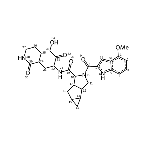 COc1cccc2[nH]c(C(=O)N3CC4C5CC5CC4C3C(=O)NC(CC3CCCNC3=O)C(=O)CO)cc12